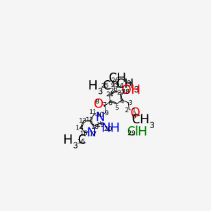 COCCc1cc(C(=O)CN2Cc3ccc(C)nc3C2=N)cc(C(C)(C)C)c1O.Cl